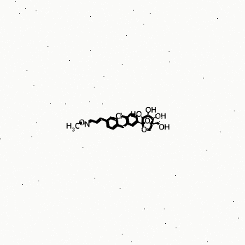 CON=C/C=C/c1ccc(Cc2cc([C@]34OC[C@](CO)(O3)[C@@H](O)[C@H](O)[C@H]4O)ccc2Cl)cc1